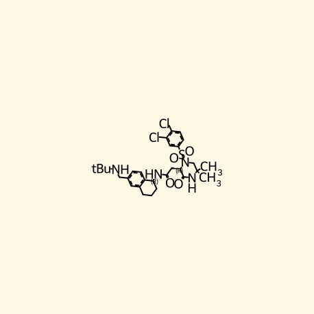 CC(C)(C)NCc1ccc2c(c1)CCC[C@H]2NC(=O)C[C@@H]1C(=O)NC(C)(C)CN1S(=O)(=O)c1ccc(Cl)c(Cl)c1